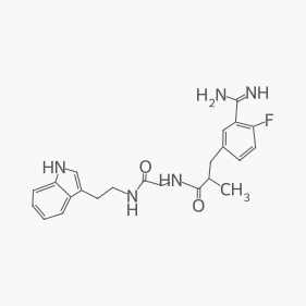 CC(Cc1ccc(F)c(C(=N)N)c1)C(=O)NCC(=O)NCCc1c[nH]c2ccccc12